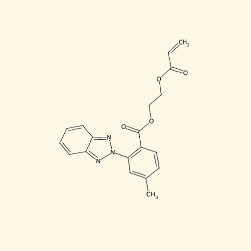 C=CC(=O)OCCOC(=O)c1ccc(C)cc1-n1nc2ccccc2n1